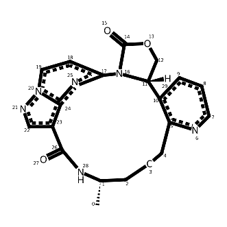 C[C@H]1CCCc2ncccc2[C@H]2COC(=O)N2c2ccn3ncc(c3n2)C(=O)N1